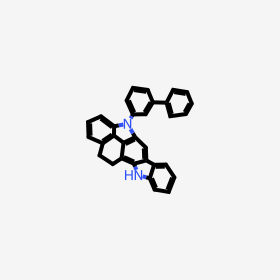 c1ccc(-c2cccc(-n3c4cccc5c4c4c(c6[nH]c7ccccc7c6cc43)CC5)c2)cc1